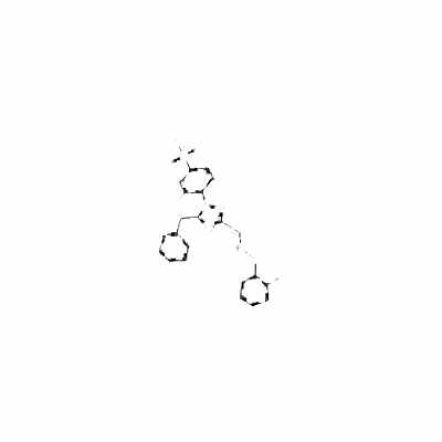 NS(=O)(=O)c1ccc(-n2nc(CNCc3ccccc3F)nc2Cc2ccccc2)c(F)c1